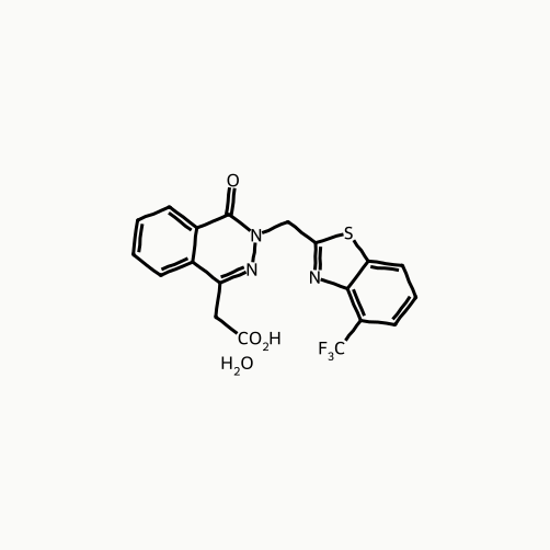 O.O=C(O)Cc1nn(Cc2nc3c(C(F)(F)F)cccc3s2)c(=O)c2ccccc12